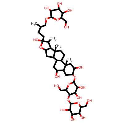 CC(CCC1(O)OC2CC3C4CC(O)C5CC(OC6OC(CO)C(OC7OC(CO)C(O)C(O)C7O)C(O)C6O)C(O)CC5(C)C4CCC3(C)C2C1C)COC1OC(CO)C(O)C(O)C1O